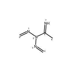 C=NN(N=C)C(C)=N